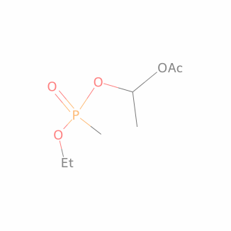 CCOP(C)(=O)OC(C)OC(C)=O